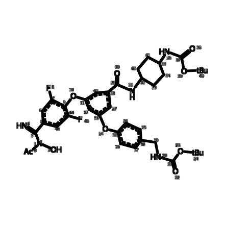 CC(=O)N(O)C(=N)c1cc(F)c(Oc2cc(Oc3ccc(CNC(=O)OC(C)(C)C)cc3)cc(C(=O)NC3CCC(NC(=O)OC(C)(C)C)CC3)c2)c(F)c1